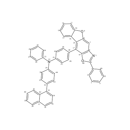 c1ccc(-c2nc3cc4oc5ccccc5c4c(-c4ccc(N(c5ccccc5)c5ccc(-c6cccc7ccccc67)cc5)cc4)c3o2)cc1